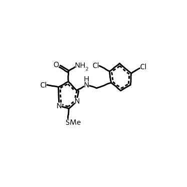 CSc1nc(Cl)c(C(N)=O)c(NCc2ccc(Cl)cc2Cl)n1